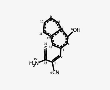 N#CC(=Cc1cc(O)c2ccccc2c1)C(N)=S